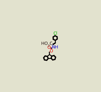 O=C(N/C(=C/c1ccc(Cl)cc1)C(=O)O)OCC1c2ccccc2-c2ccccc21